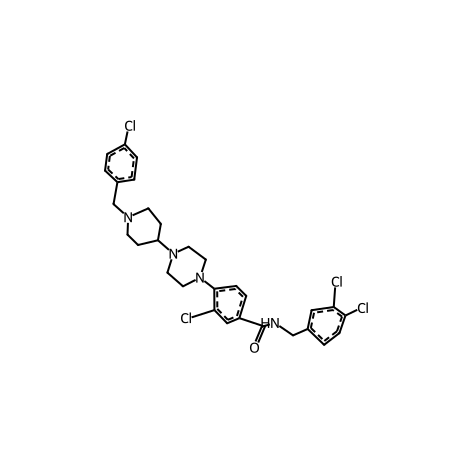 O=C(NCc1ccc(Cl)c(Cl)c1)c1ccc(N2CCN(C3CCN(Cc4ccc(Cl)cc4)CC3)CC2)c(Cl)c1